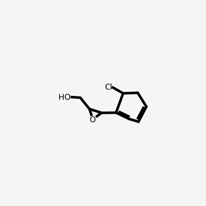 OCC1OC1C1=CC=CCC1Cl